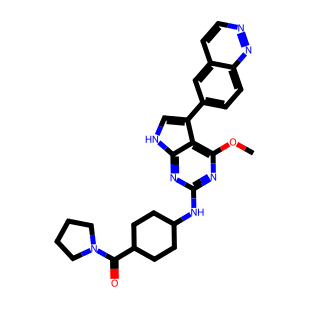 COc1nc(NC2CCC(C(=O)N3CCCC3)CC2)nc2[nH]cc(-c3ccc4nnccc4c3)c12